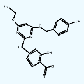 O=C(Cl)c1ccc(Nc2nc(NCc3ccc(O)cc3)nc(OCC(F)(F)F)n2)cc1O